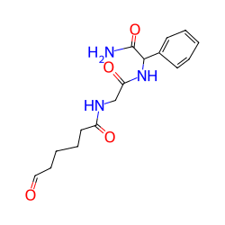 NC(=O)C(NC(=O)CNC(=O)CCCCC=O)c1ccccc1